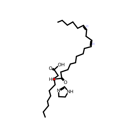 C1=NCCN1.CCCCC/C=C\C/C=C\CCCCCCCC(=O)O.CCCCCCCCCC(=O)O